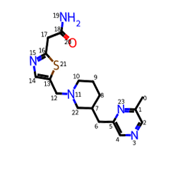 Cc1cncc(CC2CCCN(Cc3cnc(CC(N)=O)s3)C2)n1